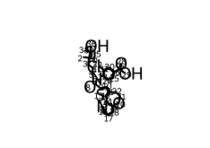 CC(C)(CCCN(C(=O)c1cc2c(s1)-c1ncccc1OCC2)c1ccc(C(=O)O)cc1Cl)[Si](C)(C)O